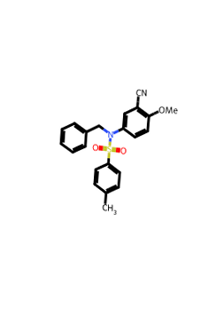 COc1ccc(N(Cc2ccccc2)S(=O)(=O)c2ccc(C)cc2)cc1C#N